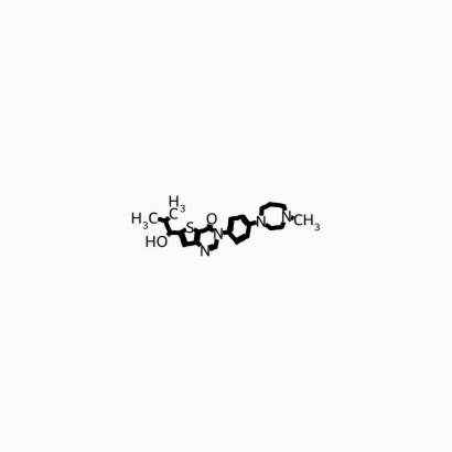 CC(C)C(O)c1cc2ncn(-c3ccc(N4CCCN(C)CC4)cc3)c(=O)c2s1